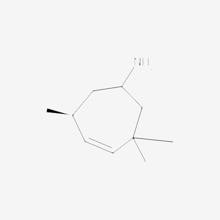 C[C@@H]1C=CC(C)(C)CC(N)[C@H]1C